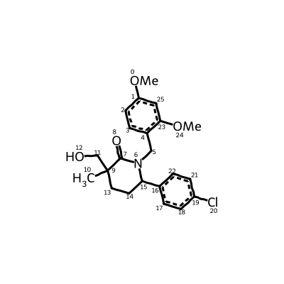 COc1ccc(CN2C(=O)C(C)(CO)CCC2c2ccc(Cl)cc2)c(OC)c1